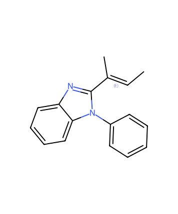 C/C=C(\C)c1nc2ccccc2n1-c1ccccc1